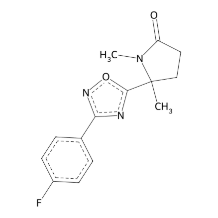 CN1C(=O)CCC1(C)c1nc(-c2ccc(F)cc2)no1